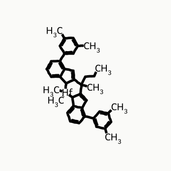 CCCC1(C)C2=Cc3c(-c4cc(C)cc(C)c4)cccc3[CH]2[Hf]([CH3])([CH3])[CH]2C1=Cc1c(-c3cc(C)cc(C)c3)cccc12